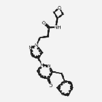 O=C(CCn1cc(-n2ccc(=O)c(Cc3c[c]ccc3)n2)cn1)NC1COC1